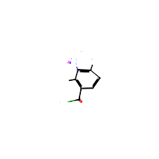 Cc1ccc(C(=O)Cl)c(C)c1[N+](=O)[O-]